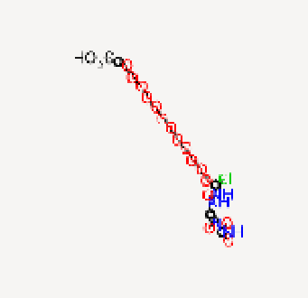 O=C1CCC(N2Cc3cc(CNC(=O)Nc4cc(Cl)cc(OCCOCCOCCOCCOCCOCCOCCOCCOCCOCCOCCOc5ccc(C(=O)O)cc5)c4)ccc3C2=O)C(=O)N1